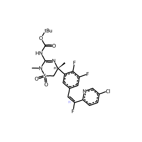 CN1C(NC(=O)OC(C)(C)C)=N[C@](C)(c2cc(/C=C(/F)c3ccc(Cl)cn3)cc(F)c2F)CS1(=O)=O